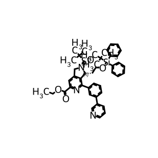 CCOC(=O)c1cc2c(c(-c3cccc(-c4cccnc4)c3)n1)[C@@H](CCO[Si](c1ccccc1)(c1ccccc1)C(C)(C)C)N([S@+]([O-])C(C)(C)C)C2